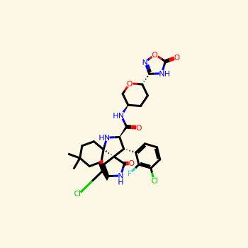 CC1(C)CCC2(CC1)N[C@@H](C(=O)N[C@@H]1CC[C@@H](c3noc(=O)[nH]3)OC1)[C@H](c1cccc(Cl)c1F)[C@]21C(=O)Nc2cc(Cl)ccc21